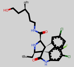 CCC[C@H](CCO)CCCNC(=O)[C@@H]1N[C@H](CC(C)(C)C)[C@]2(C(=O)Nc3cc(Cl)c(F)cc32)[C@H]1c1cccc(Cl)c1